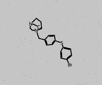 Brc1ccc(Sc2ccc(CN3CCN4CCC3CC4)cc2)cc1